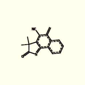 C=c1c(C#N)c2c(c3ccccc13)=NC(=O)C2(C)C